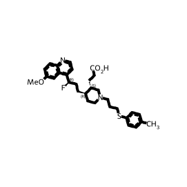 COc1ccc2nccc([C@H](F)CC[C@@H]3CCN(CCCSc4ccc(C)cc4)C[C@H]3CCC(=O)O)c2c1